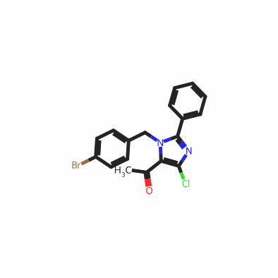 CC(=O)c1c(Cl)nc(-c2ccccc2)n1Cc1ccc(Br)cc1